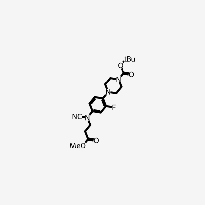 COC(=O)CCN(C#N)c1ccc(N2CCN(C(=O)OC(C)(C)C)CC2)c(F)c1